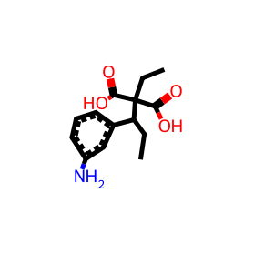 CCC(c1cccc(N)c1)C(CC)(C(=O)O)C(=O)O